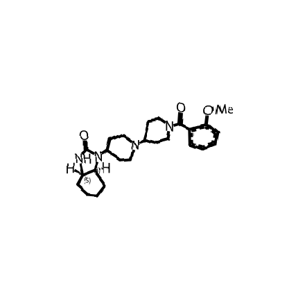 COc1ccccc1C(=O)N1CCC(N2CCC(N3C(=O)N[C@H]4CCCC[C@@H]43)CC2)CC1